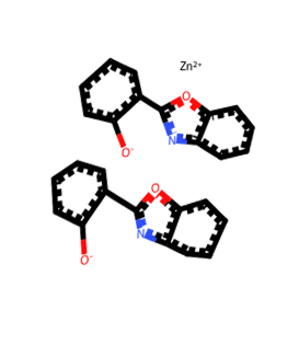 [O-]c1ccccc1-c1nc2ccccc2o1.[O-]c1ccccc1-c1nc2ccccc2o1.[Zn+2]